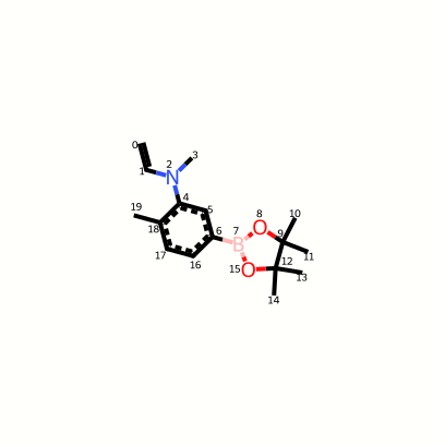 C=CN(C)c1cc(B2OC(C)(C)C(C)(C)O2)ccc1C